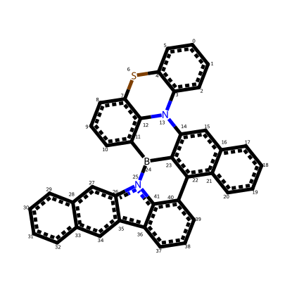 c1ccc2c(c1)Sc1cccc3c1N2c1cc2ccccc2c2c1B3n1c3cc4ccccc4cc3c3cccc-2c31